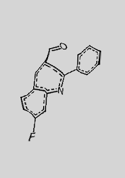 O=Cc1cc2ccc(F)cc2nc1-c1ccccc1